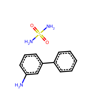 NS(N)(=O)=O.Nc1cccc(-c2ccccc2)c1